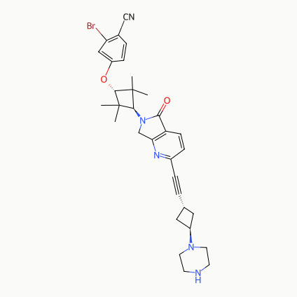 CC1(C)[C@H](Oc2ccc(C#N)c(Br)c2)C(C)(C)[C@H]1N1Cc2nc(C#C[C@H]3C[C@H](N4CCNCC4)C3)ccc2C1=O